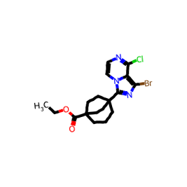 CCOC(=O)C12CCCC(c3nc(Br)c4c(Cl)nccn34)(CC1)CC2